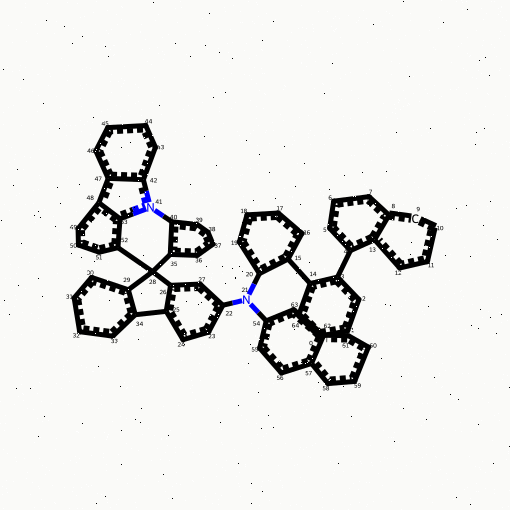 c1ccc(-c2cccc3ccccc23)c(-c2ccccc2N(c2ccc3c(c2)C2(c4ccccc4-3)c3ccccc3-n3c4ccccc4c4cccc2c43)c2ccc3ccccc3c2)c1